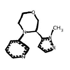 Cn1nccc1[C@@H]1COCCN1c1cc[c]nc1